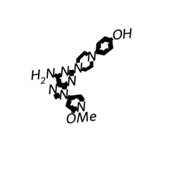 COc1cc(-n2cnc3c(N)nc(N4CCN(c5ccc(O)cc5)CC4)nc32)ccn1